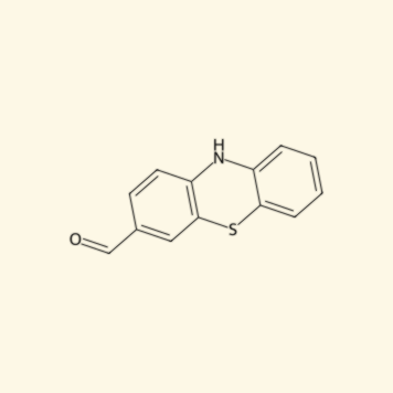 O=Cc1ccc2c(c1)Sc1ccccc1N2